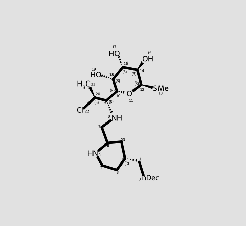 CCCCCCCCCCC[C@@H]1CCNC(CN[C@@H]([C@H]2O[C@H](SC)[C@H](O)[C@@H](O)[C@H]2O)[C@H](C)Cl)C1